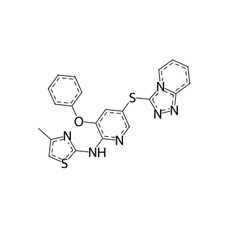 Cc1csc(Nc2ncc(Sc3nnc4ccccn34)cc2Oc2ccccc2)n1